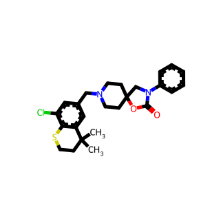 CC1(C)CCSc2c(Cl)cc(CN3CCC4(CC3)CN(c3ccccc3)C(=O)O4)cc21